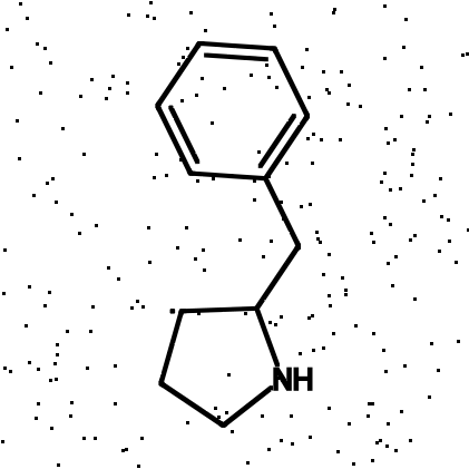 [CH]1CCNC1Cc1ccccc1